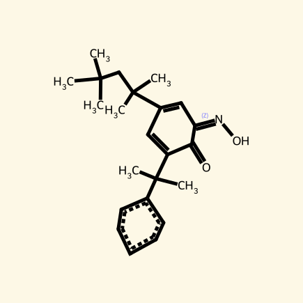 CC(C)(C)CC(C)(C)C1=C/C(=N/O)C(=O)C(C(C)(C)c2ccccc2)=C1